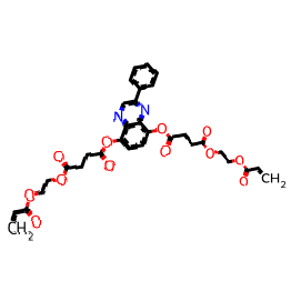 C=CC(=O)OCCOC(=O)CCC(=O)Oc1ccc(OC(=O)CCC(=O)OCCOC(=O)C=C)c2nc(-c3ccccc3)cnc12